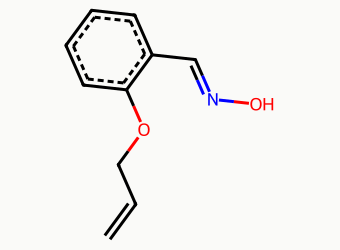 C=CCOc1ccccc1C=NO